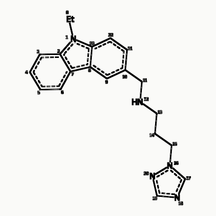 CCn1c2ccccc2c2cc(CNCCCn3cncn3)ccc21